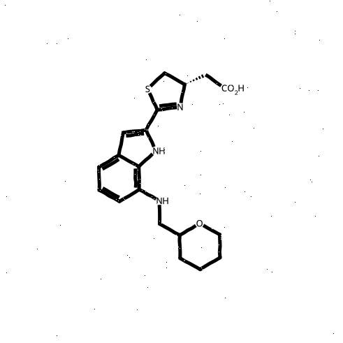 O=C(O)C[C@H]1CSC(c2cc3cccc(NCC4CCCCO4)c3[nH]2)=N1